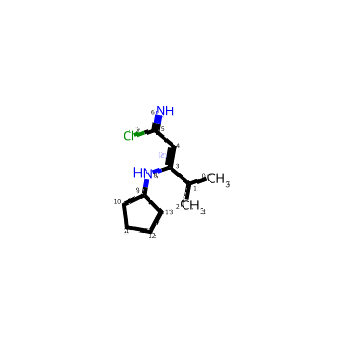 CC(C)/C(=C/C(=N)Cl)NC1CCCC1